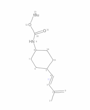 C=C(C)/C=C/C1CCC(NC(=O)OC(C)(C)C)CC1